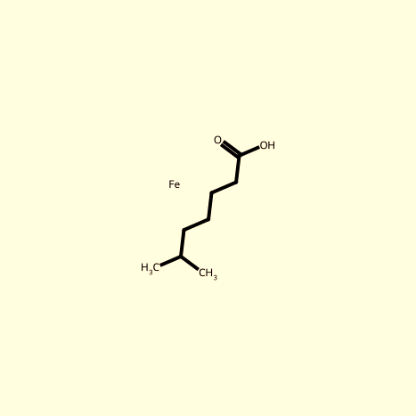 CC(C)CCCCC(=O)O.[Fe]